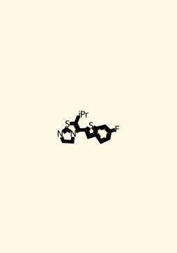 CC(C)C1=C(c2cc3ccc(F)cc3s2)N2CCN=C2S1